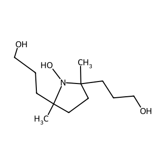 CC1(CCCO)CCC(C)(CCCO)N1O